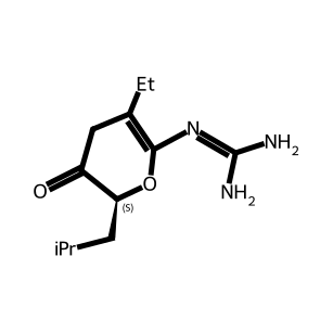 CCC1=C(N=C(N)N)O[C@@H](CC(C)C)C(=O)C1